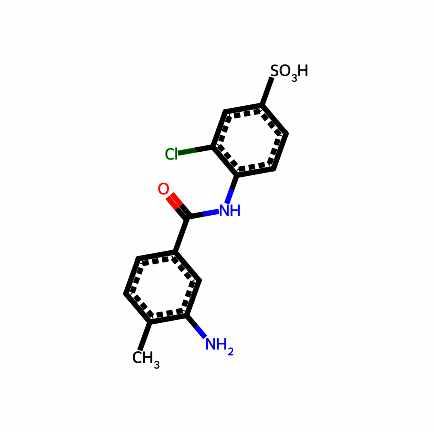 Cc1ccc(C(=O)Nc2ccc(S(=O)(=O)O)cc2Cl)cc1N